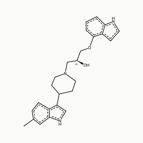 Cc1ccc2c(C3CCN(C[C@H](O)COc4cccc5[nH]ccc45)CC3)c[nH]c2c1